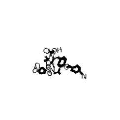 CC(C)CN(C[C@H]1OC(C)(C)N(C(=O)O)[C@H]1Cc1ccc(OCc2ccc(C#N)cc2)cc1)S(=O)(=O)c1ccc2c(c1)OCO2